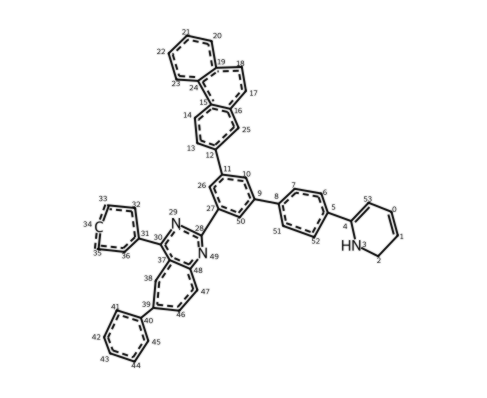 C1=CCNC(c2ccc(-c3cc(-c4ccc5c(ccc6ccccc65)c4)cc(-c4nc(-c5ccccc5)c5cc(-c6ccccc6)ccc5n4)c3)cc2)=C1